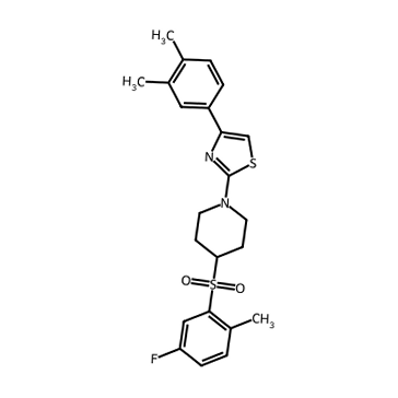 Cc1ccc(-c2csc(N3CCC(S(=O)(=O)c4cc(F)ccc4C)CC3)n2)cc1C